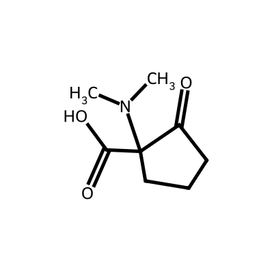 CN(C)C1(C(=O)O)CCCC1=O